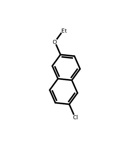 CCOc1ccc2cc(Cl)ccc2c1